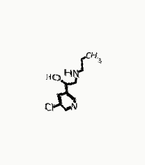 CCCNCC(O)c1cncc(Cl)c1